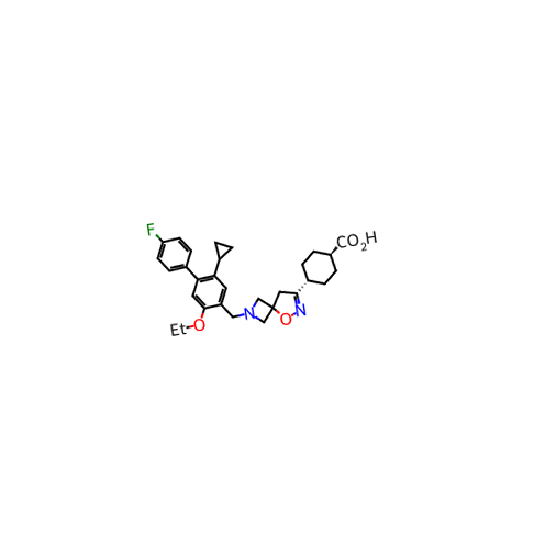 CCOc1cc(-c2ccc(F)cc2)c(C2CC2)cc1CN1CC2(CC([C@H]3CC[C@H](C(=O)O)CC3)=NO2)C1